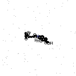 CCCSC1CC(=O)N(CCCCCC(=O)N/N=C2\C=CC3(C)C(=C2)CCC2C3C(O)CC3(C)C(C(=O)CO)CCC23)C1=O